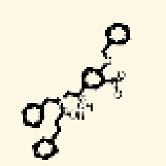 O=[N+]([O-])c1cc([C@@H](O)CN(Cc2ccccc2)[C@@H](O)CCc2ccccc2)ccc1OCc1ccccc1